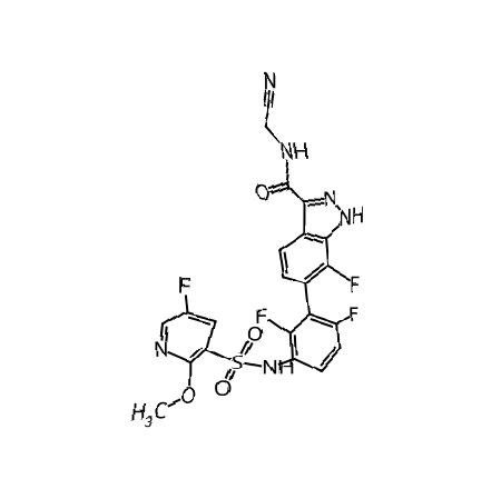 COc1ncc(F)cc1S(=O)(=O)Nc1ccc(F)c(-c2ccc3c(C(=O)NCC#N)n[nH]c3c2F)c1F